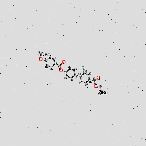 CCCCCCCCCCOc1ccc(C(=O)Oc2ccc(-c3ccc(C(=O)OC[C@@H](C)CC)cc3F)cc2)cc1